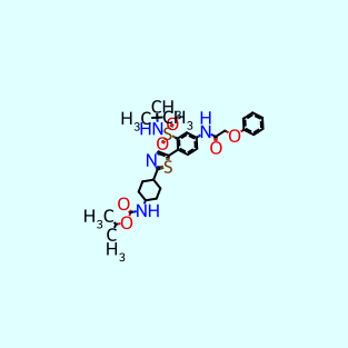 CC(C)OC(=O)NC1CCC(c2ncc(-c3ccc(NC(=O)COc4ccccc4)cc3S(=O)(=O)NC(C)(C)C)s2)CC1